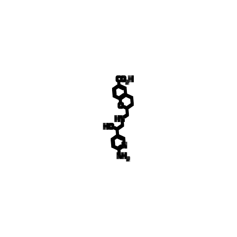 Nc1ccc(C(O)CNCC2CCc3cc(C(=O)O)ccc3O2)cn1